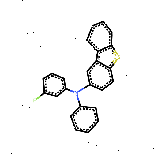 Fc1cccc(N(c2ccccc2)c2ccc3sc4ccccc4c3c2)c1